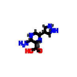 Nc1ncc(-c2cn[nH]c2)nc1C(=O)O